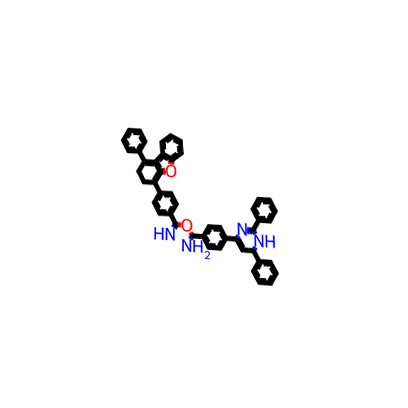 N=C(OC(N)c1ccc(C2=CC(c3ccccc3)NC(c3ccccc3)=N2)cc1)c1ccc(C2=c3oc4ccccc4c3=C(c3ccccc3)CC2)cc1